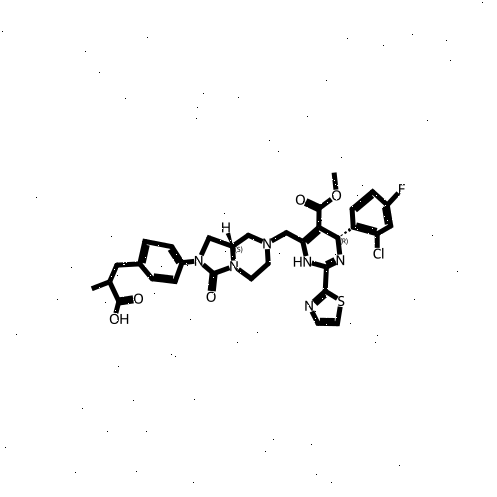 COC(=O)C1=C(CN2CCN3C(=O)N(c4ccc(CC(C)C(=O)O)cc4)C[C@@H]3C2)NC(c2nccs2)=N[C@H]1c1ccc(F)cc1Cl